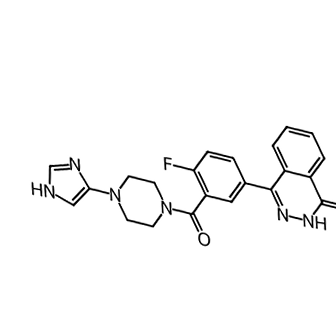 O=C(c1cc(-c2n[nH]c(=O)c3ccccc23)ccc1F)N1CCN(c2c[nH]cn2)CC1